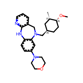 CO[C@@H]1CC[C@@H](CN2Cc3cccnc3Nc3ccc(N4CCOCC4)cc32)C[C@@H]1C